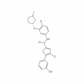 CN1CC[C@@H](Oc2cc(N[S+]([O-])c3cc(Cl)c(-c4cccc(O)c4)s3)ccc2Cl)C1